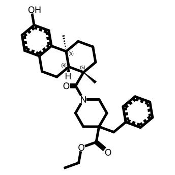 CCOC(=O)C1(Cc2ccccc2)CCN(C(=O)[C@@]2(C)CCC[C@]3(C)c4cc(O)ccc4CC[C@@H]23)CC1